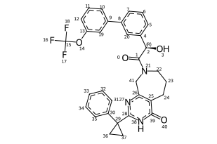 O=C([C@H](O)c1cccc(-c2cccc(OC(F)(F)F)c2)c1)N1CCCc2c(nc(C3(c4ccccc4)CC3)[nH]c2=O)C1